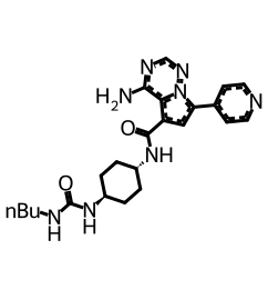 CCCCNC(=O)N[C@H]1CC[C@H](NC(=O)c2cc(-c3ccncc3)n3ncnc(N)c23)CC1